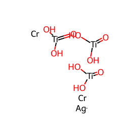 [Ag].[Cr].[Cr].[O]=[Ti]([OH])[OH].[O]=[Ti]([OH])[OH].[O]=[Ti]([OH])[OH]